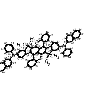 CC1(C)c2cc(N(c3ccccc3)c3ccc4ccccc4c3)ccc2-c2c1cc1c(-c3ccccc3F)c3c(cc1c2-c1ccccc1F)C(C)(C)c1cc(N(c2ccccc2)c2ccc4ccccc4c2)ccc1-3